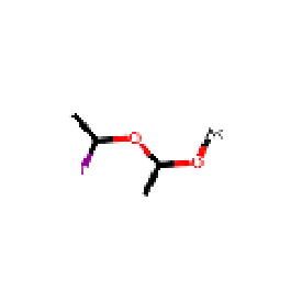 CC(=O)OC(C)OC(C)I